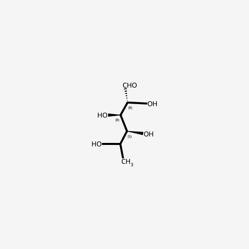 CC(O)[C@H](O)[C@@H](O)[C@@H](O)C=O